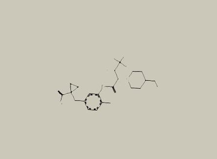 CCC1CCN([C@H](C(=O)Nc2cc(CC3(C(=O)O)CC3)ccc2F)[C@H](C)C(F)(F)F)CC1